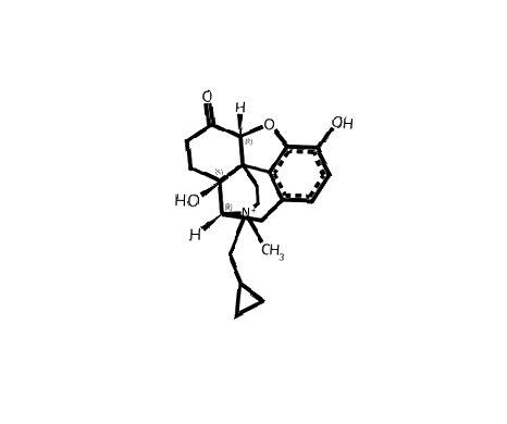 C[N+]1(CC2CC2)CCC23c4c5ccc(O)c4O[C@H]2C(=O)CC[C@@]3(O)[C@H]1C5